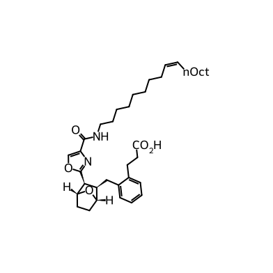 CCCCCCCC/C=C\CCCCCCCCNC(=O)c1coc([C@H]2[C@@H](Cc3ccccc3CCC(=O)O)[C@@H]3CC[C@H]2O3)n1